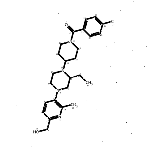 CC[C@H]1CN(c2ccc(CO)nc2C)CCN1C1CCN(C(=O)c2ccc(Cl)cc2)CC1